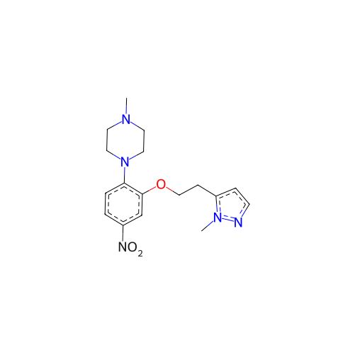 CN1CCN(c2ccc([N+](=O)[O-])cc2OCCc2ccnn2C)CC1